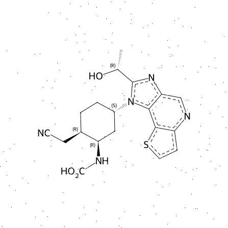 C[C@@H](O)c1nc2cnc3ccsc3c2n1[C@H]1CC[C@H](CC#N)[C@H](NC(=O)O)C1